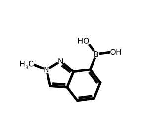 Cn1cc2cccc(B(O)O)c2n1